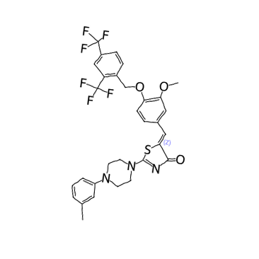 COc1cc(/C=C2\SC(N3CCN(c4cccc(C)c4)CC3)=NC2=O)ccc1OCc1ccc(C(F)(F)F)cc1C(F)(F)F